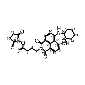 O=C(CCCN1C(=O)c2ccc3c4c(ccc(c24)C1=O)NC1CCCCC1N3)ON1C(=O)CCC1=O